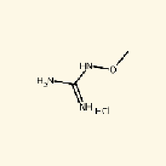 CONC(=N)N.Cl